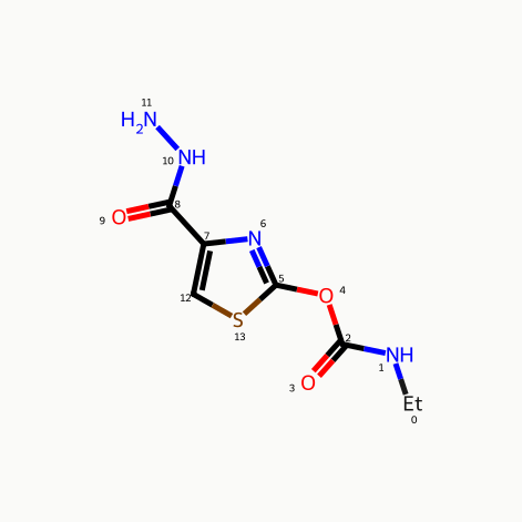 CCNC(=O)Oc1nc(C(=O)NN)cs1